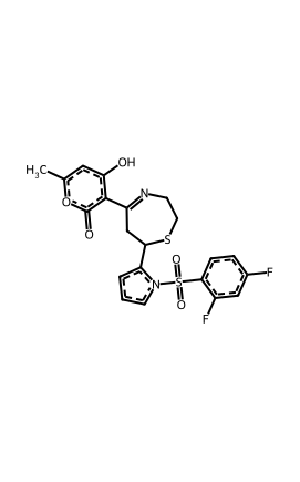 Cc1cc(O)c(C2=NCCSC(c3cccn3S(=O)(=O)c3ccc(F)cc3F)C2)c(=O)o1